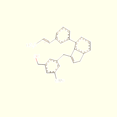 COc1cc(CO)cc(CC2=CCc3cccc(-c4cccc(/C=C/C(=O)O)c4)c32)c1